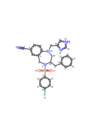 N#Cc1ccc2c(c1)CN(S(=O)(=O)c1ccc(F)cc1)C(Cc1ccccc1)CN2Cc1c[nH]cn1